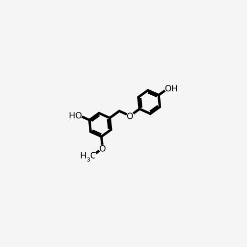 COc1cc(O)cc(COc2ccc(O)cc2)c1